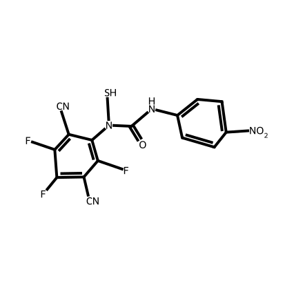 N#Cc1c(F)c(F)c(C#N)c(N(S)C(=O)Nc2ccc([N+](=O)[O-])cc2)c1F